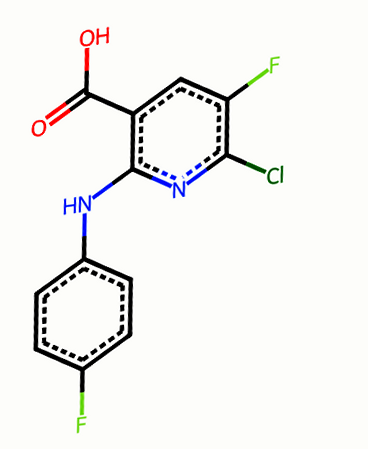 O=C(O)c1cc(F)c(Cl)nc1Nc1ccc(F)cc1